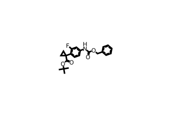 CC(C)(C)OC(=O)C1(c2ccc(NC(=O)OCc3ccccc3)cc2F)CC1